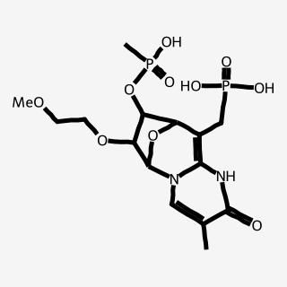 COCCOC1C(OP(C)(=O)O)C2OC1N1C=C(C)C(=O)NC1=C2CP(=O)(O)O